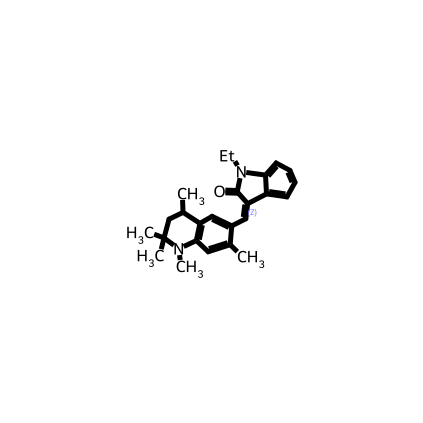 CCN1C(=O)/C(=C\c2cc3c(cc2C)N(C)C(C)(C)CC3C)c2ccccc21